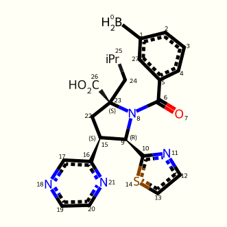 Bc1cccc(C(=O)N2[C@@H](c3nccs3)[C@@H](c3cnccn3)C[C@@]2(CC(C)C)C(=O)O)c1